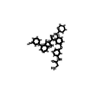 CCC(=O)Nc1cncc(Oc2ccc(NC3CCCCO3)c(C(=N)c3nc4c(-c5cccc(F)c5)cncc4[nH]3)c2)c1